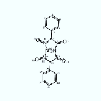 O=C1C(c2ccccc2)[N+](=O)N2N1C(=O)C(c1ccccc1)[N+]2=O